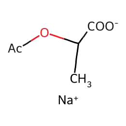 CC(=O)OC(C)C(=O)[O-].[Na+]